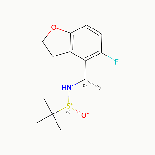 C[C@H](N[S@+]([O-])C(C)(C)C)c1c(F)ccc2c1CCO2